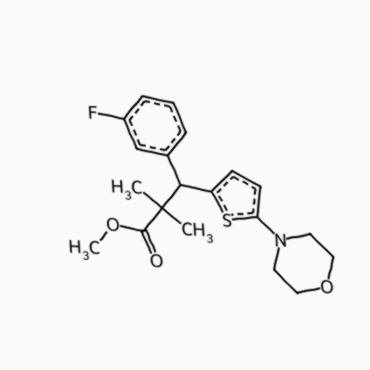 COC(=O)C(C)(C)C(c1cccc(F)c1)c1ccc(N2CCOCC2)s1